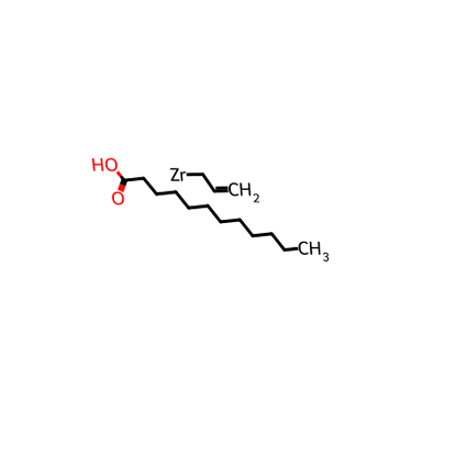 C=C[CH2][Zr].CCCCCCCCCCCC(=O)O